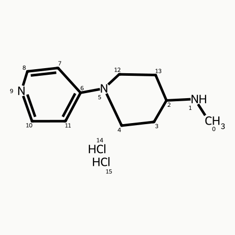 CNC1CCN(c2ccncc2)CC1.Cl.Cl